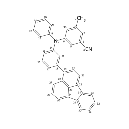 Cc1cc(C#N)cc(N(c2ccccc2)c2cccc(-c3ccc4c5c(cccc35)-c3ccccc3-4)c2)c1